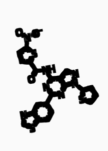 O=C(Nc1nc(-c2ccc3scnc3c2)nc2c1cnn2-c1cccs1)c1ccc([N+](=O)[O-])s1